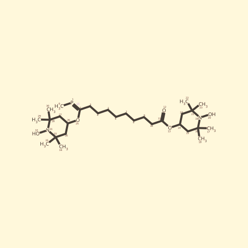 C/P=C(/CCCCCCCCC(=O)OC1CC(C)(C)N(O)C(C)(C)C1)OC1CC(C)(C)N(O)C(C)(C)C1